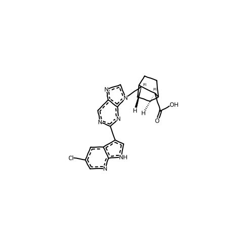 O=C(O)[C@@H]1C2CCC(CC2)[C@H]1n1cnc2cnc(-c3c[nH]c4ncc(Cl)cc34)nc21